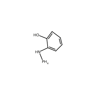 Oc1ccccc1N[PH4]